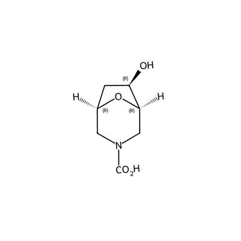 O=C(O)N1C[C@H]2C[C@@H](O)[C@@H](C1)O2